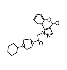 O=C(Cn1ncc2c(=O)oc3ccccc3c21)N1CCN(C2CCCCC2)CC1